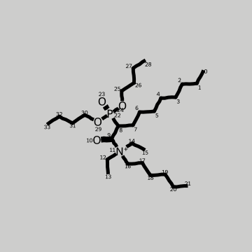 CCCCCCCCC(C(=O)[N+](CC)(CC)CCCCCC)P(=O)(OCCCC)OCCCC